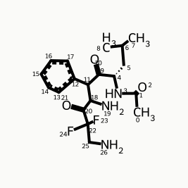 CC(=O)N[C@@H](CC(C)C)C(=O)C(c1ccccc1)C(N)C(=O)C(F)(F)CN